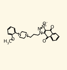 COc1ccccc1N1CCN(CCCn2n[n+]([O-])c3c2C(=O)c2ccccc2C3=O)CC1